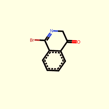 O=C1CN=C(Br)c2ccccc21